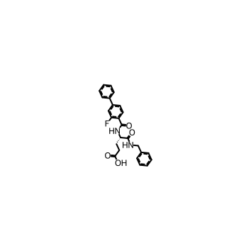 O=C(O)CC[C@H](NC(=O)c1ccc(-c2ccccc2)cc1F)C(=O)NCc1ccccc1